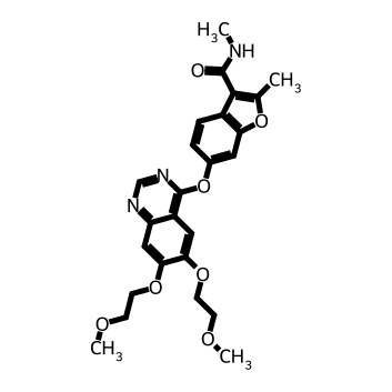 CNC(=O)c1c(C)oc2cc(Oc3ncnc4cc(OCCOC)c(OCCOC)cc34)ccc12